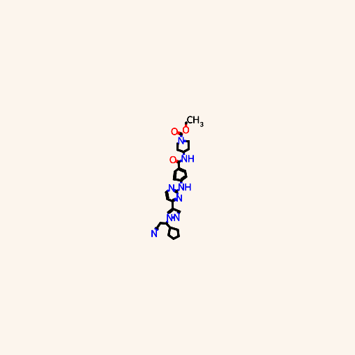 CCOC(=O)N1CCC(NC(=O)c2ccc(Nc3nccc(-c4cnn(C(CC#N)C5CCCC5)c4)n3)cc2)CC1